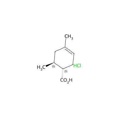 CC1=CC[C@H](C(=O)O)[C@@H](C)C1.Cl